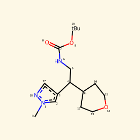 Cn1cc(C(CNC(=O)OC(C)(C)C)C2CCOCC2)cn1